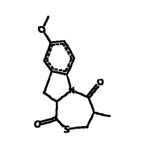 COc1ccc2c(c1)CC1C(=O)SCC(C)C(=O)N21